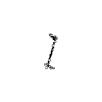 CC(C)C(C)c1cc(OCCOCCOCCOCCOCCNC(=O)OC(C)(C)C)no1